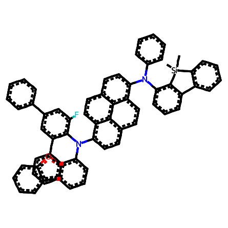 C[Si]1(C)c2ccccc2-c2cccc(N(c3ccccc3)c3ccc4ccc5c(N(c6c(F)cc(-c7ccccc7)cc6-c6ccccc6)c6cccc7c6oc6ccccc67)ccc6ccc3c4c65)c21